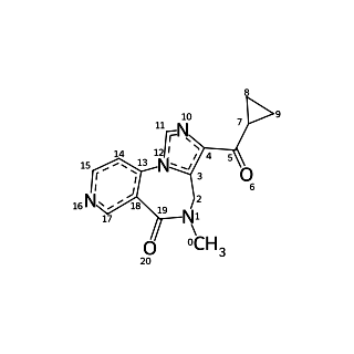 CN1Cc2c(C(=O)C3CC3)ncn2-c2ccncc2C1=O